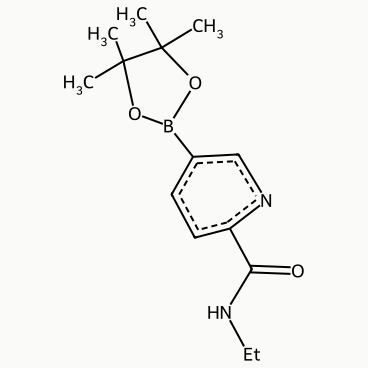 CCNC(=O)c1ccc(B2OC(C)(C)C(C)(C)O2)cn1